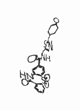 O=C1CCC(c2ncc(CNC(=O)c3ccc4c(c3)NC(=O)c3ccccc3S4(=O)=O)s2)CC1